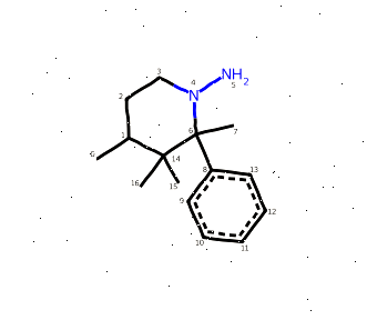 CC1CCN(N)C(C)(c2ccccc2)C1(C)C